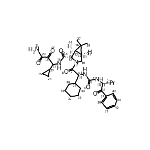 CC(C)[C@H](NC(=O)N[C@H](C(=O)N1C[C@H]2[C@@H]([C@H]1C(=O)NC(C(=O)C(N)=O)C1CC1)C2(C)C)C1CCCCC1)C(=O)c1ccccc1